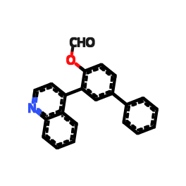 O=COc1ccc(-c2ccccc2)cc1-c1ccnc2ccccc12